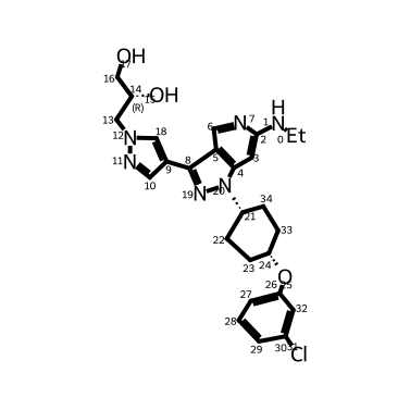 CCNc1cc2c(cn1)c(-c1cnn(C[C@@H](O)CO)c1)nn2[C@H]1CC[C@@H](Oc2cccc(Cl)c2)CC1